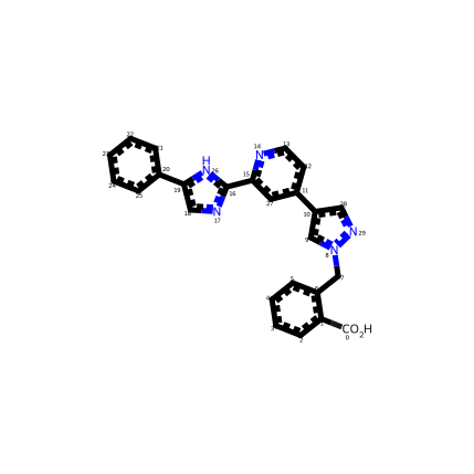 O=C(O)c1ccccc1Cn1cc(-c2ccnc(-c3ncc(-c4ccccc4)[nH]3)c2)cn1